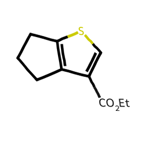 CCOC(=O)c1csc2c1CCC2